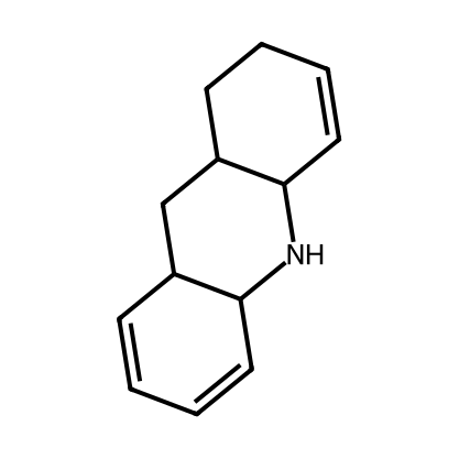 C1=CC2CC3CCC=CC3NC2C=C1